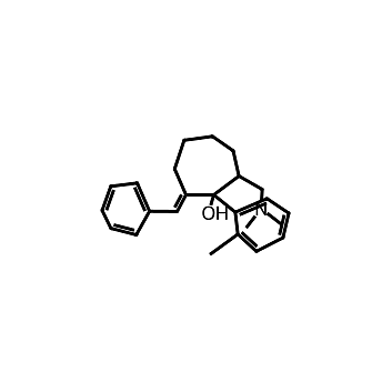 Cc1ccccc1C1(O)C(=Cc2ccccc2)CCCCC1CN(C)C